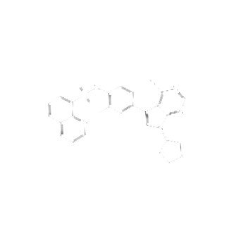 Nc1ncnc2c1c(-c1ccc(NS(=O)(=O)c3cccc4cccnc34)c(F)c1)cn2C1CCCC1